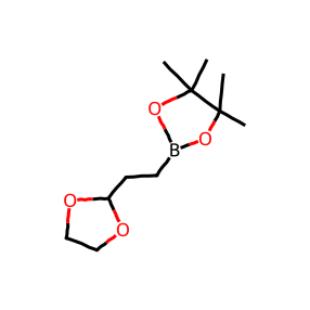 CC1(C)OB(CCC2OCCO2)OC1(C)C